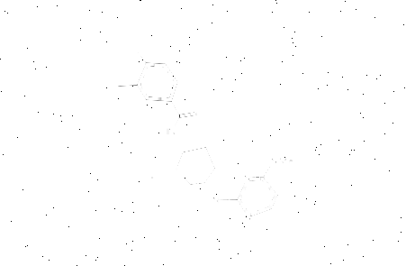 CNc1ccnc(N[C@H]2CC[C@@H](NC(=O)c3ccc(F)c(F)c3)CC2)n1.Cl